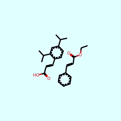 CC(C)c1ccc(C=CC(=O)O)c(C(C)C)c1.CCOC(=O)C=Cc1ccccc1